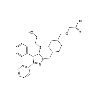 O=C(O)COCC1CCC(CN2N=C(c3ccccc3)C(c3ccccc3)C2SCCO)CC1